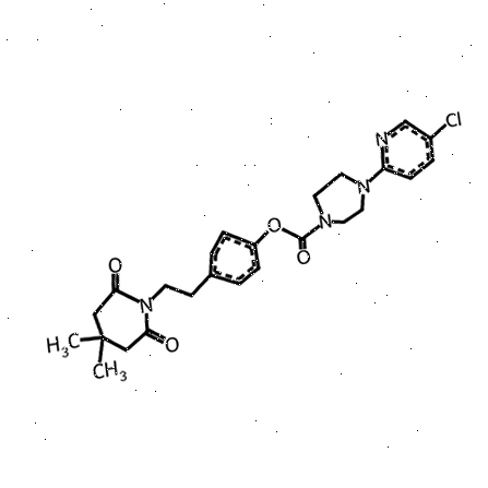 CC1(C)CC(=O)N(CCc2ccc(OC(=O)N3CCN(c4ccc(Cl)cn4)CC3)cc2)C(=O)C1